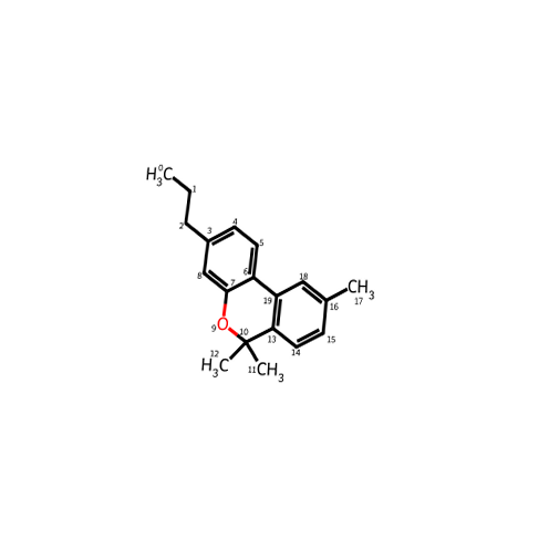 CCCc1ccc2c(c1)OC(C)(C)c1ccc(C)cc1-2